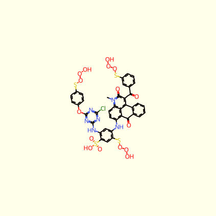 Cn1c(=O)c(C(=O)c2cccc(SOOO)c2)c2c3c(c(Nc4cc(Nc5nc(Cl)nc(Oc6ccc(SOOO)cc6)n5)c(S(=O)(=O)O)cc4SOOO)ccc31)C(=O)c1ccccc1-2